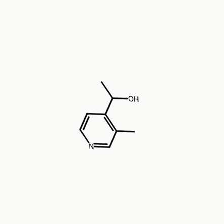 Cc1cnccc1C(C)O